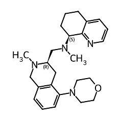 CN1Cc2cccc(N3CCOCC3)c2C[C@@H]1CN(C)[C@H]1CCCc2cccnc21